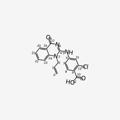 C=CCn1c(Nc2ccc(C(=O)O)c(Cl)c2)nc(=O)c2ccccc21